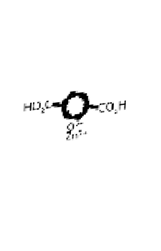 O=C(O)c1ccc(C(=O)O)cc1.[O-2].[Zn+2]